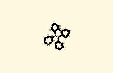 c1ccc(B2c3ccccc3-c3ccncc3N2c2cccnc2)cc1